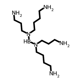 NCCCCN(BN(CCCN)CCCCN)CCCN